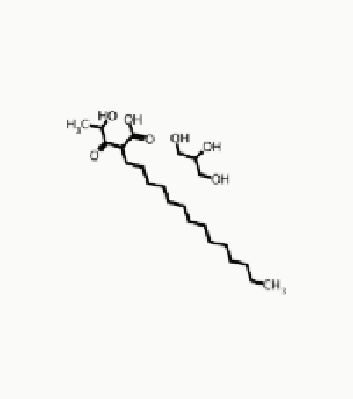 CCCCCCCCCCCCCCC(C(=O)O)C(=O)C(C)O.OCC(O)CO